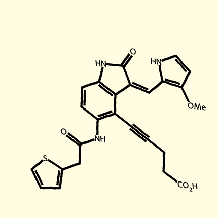 COc1cc[nH]c1C=C1C(=O)Nc2ccc(NC(=O)Cc3cccs3)c(C#CCCC(=O)O)c21